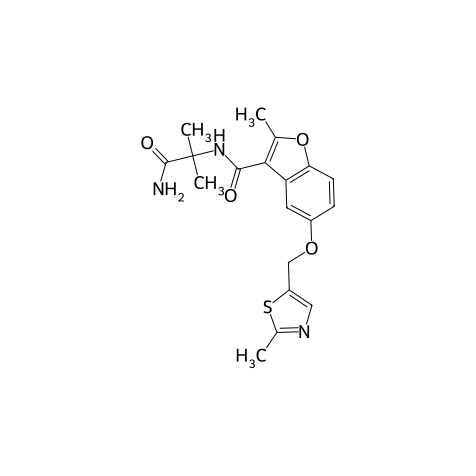 Cc1ncc(COc2ccc3oc(C)c(C(=O)NC(C)(C)C(N)=O)c3c2)s1